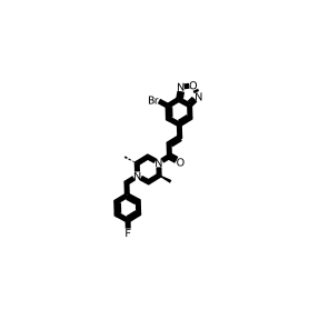 C[C@@H]1CN(C(=O)C=Cc2cc(Br)c3nonc3c2)[C@@H](C)CN1Cc1ccc(F)cc1